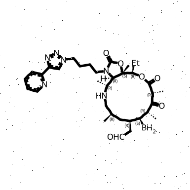 B[C@H]1[C@@H](CC=O)C[C@@H](C)CN[C@H](C)[C@H]2N(CCCCn3cc(-c4ccccn4)nn3)C(=O)O[C@]2(C)[C@@H](CC)OC(=O)[C@H](C)C(=O)[C@@H]1C